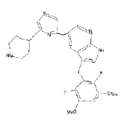 COc1cc(OC)c(F)c(Cc2c[nH]c3ncc(-c4cncc(C5CCNCC5)n4)cc23)c1F